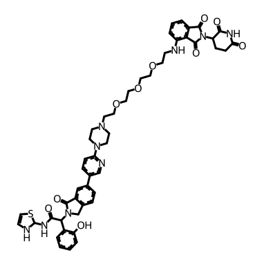 O=C1CCC(N2C(=O)c3cccc(NCCOCCOCCOCCN4CCN(c5ccc(-c6ccc7c(c6)C(=O)N(C(C(=O)NC6NC=CS6)c6ccccc6O)C7)cn5)CC4)c3C2=O)C(=O)N1